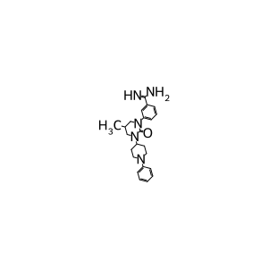 CC1CN(c2cccc(C(=N)N)c2)C(=O)N(C2CCN(c3ccccc3)CC2)C1